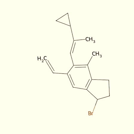 C=Cc1cc2c(c(C)c1/C=C(\C)C1CC1)CCC2Br